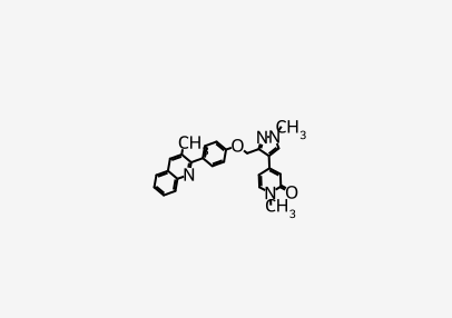 Cc1cc2ccccc2nc1-c1ccc(OCc2nn(C)cc2-c2ccn(C)c(=O)c2)cc1